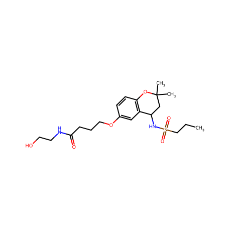 CCCS(=O)(=O)NC1CC(C)(C)Oc2ccc(OCCCC(=O)NCCO)cc21